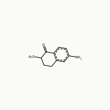 CC(=O)OC1CCc2cc(N)ccc2C1=O